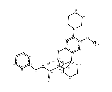 COc1cc2c(cc1N1CCOCC1)C[C@H]1[C@H]3CCCC[C@@]23CCN1C(=O)OCc1ccccc1